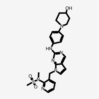 CN(c1ncccc1Cn1ccc2cnc(Nc3ccc(N4CCC(O)CC4)cc3)nc21)S(C)(=O)=O